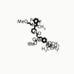 COCCCn1c(C2CCCN(C(=O)C[C@@H](Cc3ccc(B4OC(C)(C)C(C)(C)O4)cc3)NC(=O)OC(C)(C)C)C2)c(C)c2c(F)ccc(F)c21